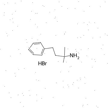 Br.CC(C)(N)CCc1ccccc1